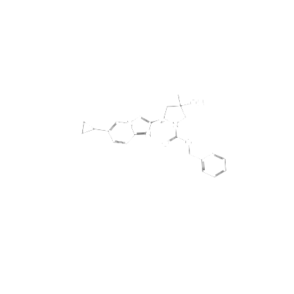 CC1(O)C[C@H](c2cn3cc(C4CC4)ccc3n2)N(C(=O)OCc2ccccc2)C1